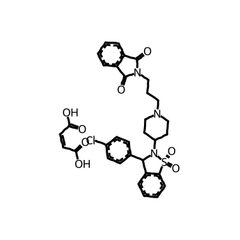 O=C(O)/C=C\C(=O)O.O=C1c2ccccc2C(=O)N1CCCN1CCC(N2C(c3ccc(Cl)cc3)c3ccccc3S2(=O)=O)CC1